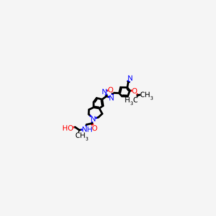 CC(C)Oc1ccc(-c2nc(-c3ccc4c(c3)CCN(C(=O)CN[C@@H](C)CO)CC4)no2)cc1C#N